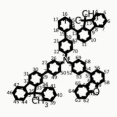 CC1(C)c2ccccc2-c2cccc(-c3ccccc3-c3ccc(N(c4ccc(-c5ccc6c(c5)C(C)(c5ccccc5)c5ccccc5-6)cc4)c4ccc(-c5cccc6oc7ccccc7c56)cc4)cc3)c21